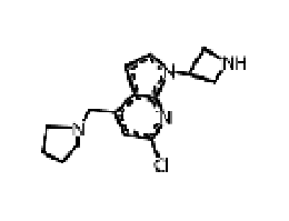 Clc1cc(CN2CCCC2)c2ccn(C3CNC3)c2n1